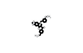 CCc1ccc(C(=O)c2cn(Cc3cccc(OC)c3)c3cc4c(cc3c2=O)OCO4)cc1